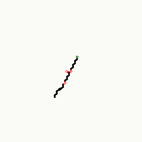 CCCCC#CCCOCCCCC(=O)OCCCCCCBr